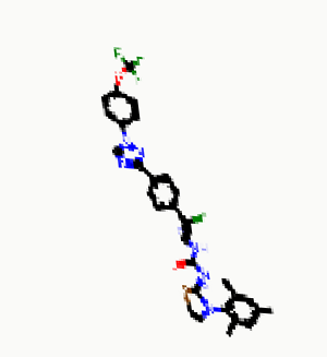 Cc1cc(C)c(N2CCS/C2=N\C(=O)N/C=C(\F)c2ccc(-c3ncn(-c4ccc(OC(F)(F)F)cc4)n3)cc2)c(C)c1